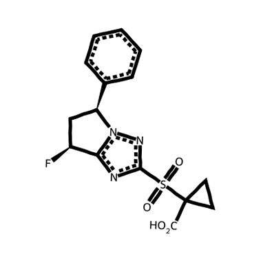 O=C(O)C1(S(=O)(=O)c2nc3n(n2)[C@H](c2ccccc2)C[C@@H]3F)CC1